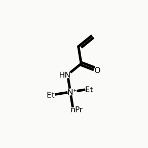 C=CC(=O)N[N+](CC)(CC)CCC